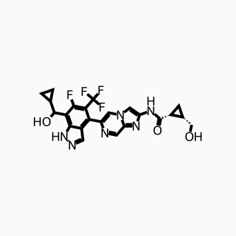 O=C(Nc1cn2cc(-c3c(C(F)(F)F)c(F)c(C(O)C4CC4)c4[nH]ncc34)ncc2n1)[C@@H]1C[C@@H]1CO